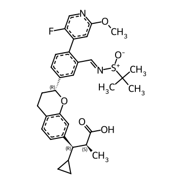 COc1cc(-c2ccc([C@H]3CCc4ccc([C@H](C5CC5)[C@H](C)C(=O)O)cc4O3)cc2C=N[S+]([O-])C(C)(C)C)c(F)cn1